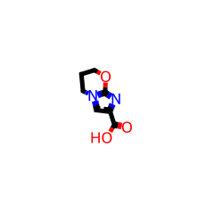 O=C(O)c1cn2c(n1)OCCC2